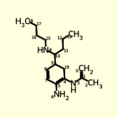 C=C(C)NC1=C(N)C=CC(C(CCC)NCCCC)C1